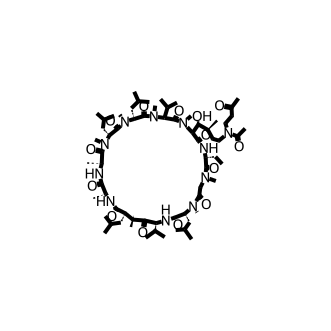 CC[C@H]1NC(=O)C([C@@H](O)[C@@H](C)CCN(CCC(C)=O)C(C)=O)N(C)C(=O)C(C(C)C)N(C)C(=O)[C@@H](CC(C)C)N(C)C(=O)[C@@H](CC(C)C)N(C)C(=O)[C@@H](C)NC(=O)[C@@H](C)NC(=O)[C@@H](CC(C)C)[C@H](C)C(=O)[C@@H](C(C)C)NC(=O)[C@@H](CC(C)C)N(C)C(=O)CN(C)C1=O